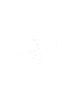 C[C@H](NC[C@H](Cc1ccccc1)NC(=O)c1cc(C(=O)N[C@H](C)c2ccc(F)cc2)cc(N2CCCNS2(=O)=O)c1)C(=O)NCC1CC1